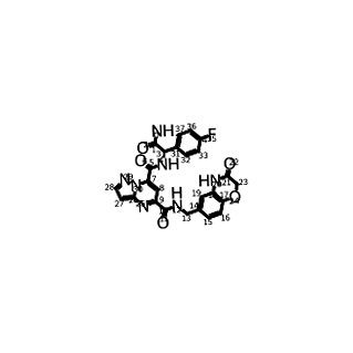 NC(=O)[C@H](NC(=O)c1cc(C(=O)NCc2ccc3c(c2)NC(=O)CO3)nc2ccnn12)c1ccc(F)cc1